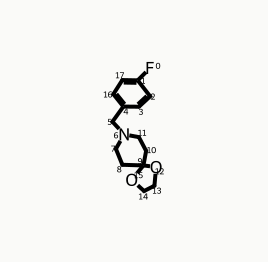 Fc1ccc(CN2CCC3(CC2)OCCO3)cc1